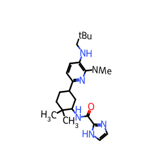 CNc1nc(C2CCC(C)(C)C(NC(=O)c3ncc[nH]3)C2)ccc1NCC(C)(C)C